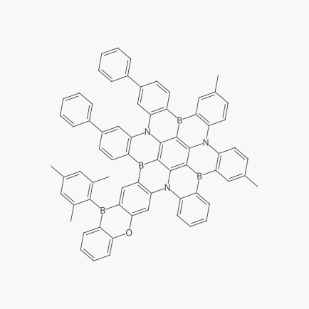 Cc1cc(C)c(B2c3ccccc3Oc3cc4c(cc32)B2c3ccc(-c5ccccc5)cc3N3c5cc(-c6ccccc6)ccc5B5c6cc(C)ccc6N6c7ccc(C)cc7B7c8ccccc8N4c4c7c6c5c3c42)c(C)c1